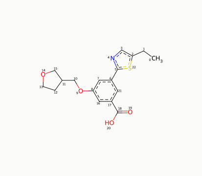 CCc1cnc(-c2cc(OCC3CCOC3)cc(C(=O)O)c2)s1